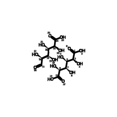 O=C(O)[C@@H](O)[C@@H](O)[C@H](O)[C@@H](O)C(=O)O.O=C[C@H](O)[C@@H](O)[C@H](O)[C@H](O)C(=O)O